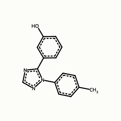 Cc1ccc(-n2ncnc2-c2cccc(O)c2)cc1